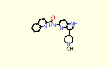 CN1CCC(c2c[nH]c3ccc(NC(=O)c4ccc5ccccc5n4)nc23)CC1